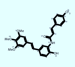 COc1cc(/C=C/c2ccc(O)c(NC(=O)/C=C/c3ccc(C(F)(F)F)cc3)c2)cc(OC)c1OC